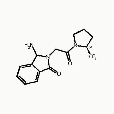 NC1c2ccccc2C(=O)N1CC(=O)N1CCC[C@H]1C(F)(F)F